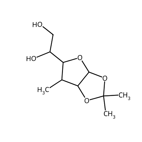 CC1C(C(O)CO)OC2OC(C)(C)OC21